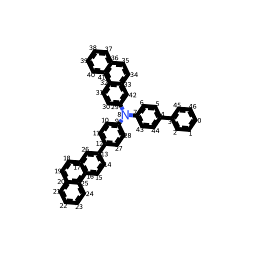 c1ccc(-c2ccc(N(c3ccc(-c4ccc5c(ccc6ccccc65)c4)cc3)c3ccc4c(ccc5ccccc54)c3)cc2)cc1